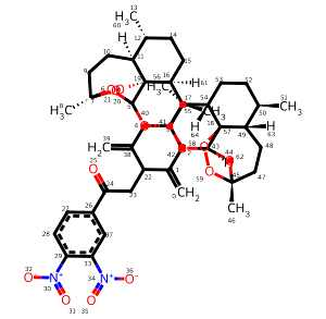 C=C(C[C@H]1OC2O[C@]3(C)CC[C@H]4[C@H](C)CC[C@@H]([C@H]1C)[C@@]24OO3)C(CC(=O)c1ccc([N+](=O)[O-])c([N+](=O)[O-])c1)C(=C)C[C@H]1O[C@@H]2O[C@]3(C)CC[C@H]4[C@H](C)CC[C@@H]([C@H]1C)[C@@]24OO3